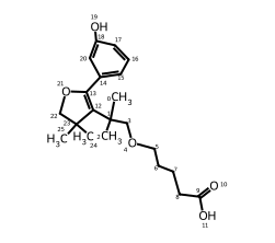 CC(C)(COCCCCC(=O)O)C1=C(c2cccc(O)c2)OCC1(C)C